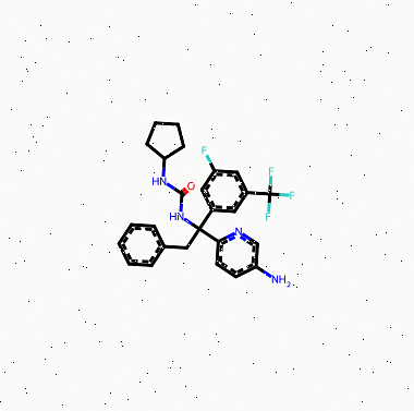 Nc1ccc(C(Cc2ccccc2)(NC(=O)NC2CCCC2)c2cc(F)cc(C(F)(F)F)c2)nc1